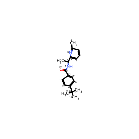 Cc1cccc(C(C)NC(=O)c2ccc(C(C)(C)C)cc2)n1